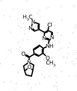 COc1cc(C(=O)N2CC3CCC(C2)O3)ccc1Nc1ncc(Cl)c(-c2cnn(C)c2)n1